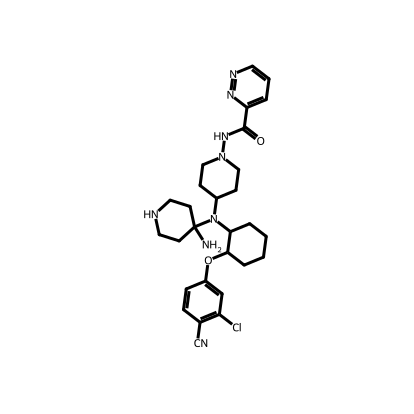 N#Cc1ccc(OC2CCCCC2N(C2CCN(NC(=O)c3cccnn3)CC2)C2(N)CCNCC2)cc1Cl